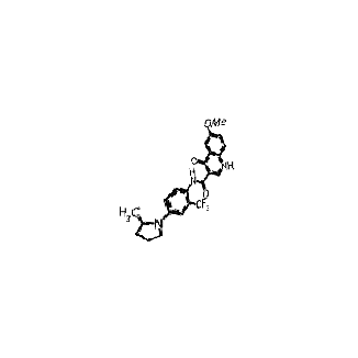 COc1ccc2[nH]cc(C(=O)Nc3ccc(N4CCCC4C)cc3C(F)(F)F)c(=O)c2c1